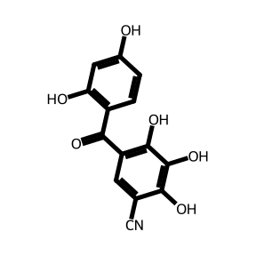 N#Cc1cc(C(=O)c2ccc(O)cc2O)c(O)c(O)c1O